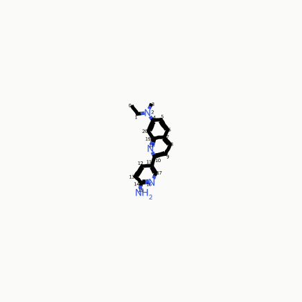 CCN(C)c1ccc2ccc(-c3ccc(N)nc3)nc2c1